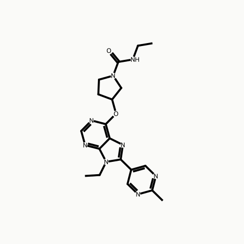 CCNC(=O)N1CCC(Oc2ncnc3c2nc(-c2cnc(C)nc2)n3CC)C1